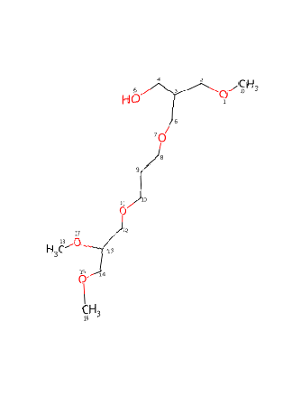 COCC(CO)COCCCOCC(COC)OC